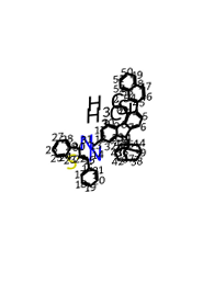 C[Si]1(C)c2c(ccc3c2-c2ccc(-c4nc(-c5ccccc5)c5sc6ccccc6c5n4)cc2C3C23CC4CC(CC(C4)C2)C3)-c2ccc3ccccc3c21